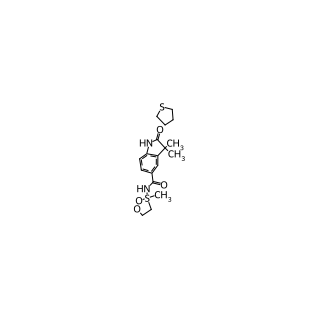 C1CCSC1.CC1(C)C(=O)Nc2ccc(C(=O)NS3(C)CCOO3)cc21